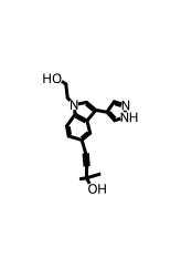 CC(C)(O)C#Cc1ccc2c(c1)c(-c1cn[nH]c1)cn2CCO